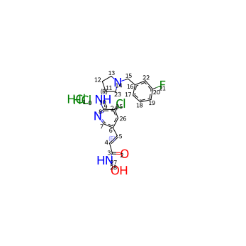 Cl.Cl.O=C(/C=C/c1cnc(N[C@@H]2CCN(Cc3cccc(F)c3)C2)c(Cl)c1)NO